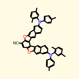 Cc1ccc(N(c2ccc3cc4c(cc3c2)oc2cc(C#N)c3oc5cc6cc(N(c7ccc(C)cc7)c7cc(C)ccc7C)ccc6cc5c3c24)c2cc(C)ccc2C)cc1